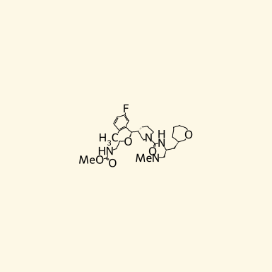 CNC[C@H](C[C@H]1CCCCOC1)NC(=O)N1CCC[C@@H]([C@@H](OCCNC(=O)OC)c2cc(F)ccc2C)C1